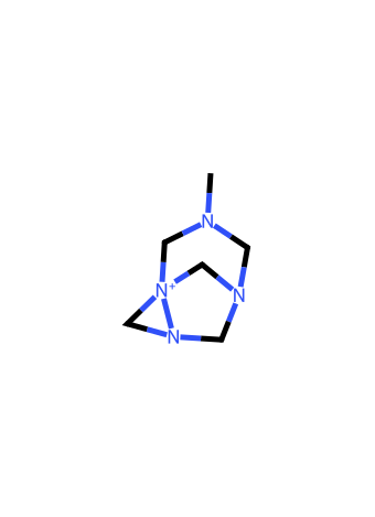 CN1CN2CN3C[N+]3(C1)C2